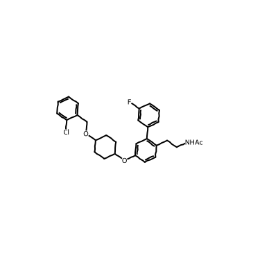 CC(=O)NCCc1ccc(OC2CCC(OCc3ccccc3Cl)CC2)cc1-c1cccc(F)c1